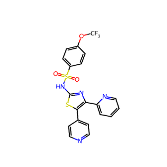 O=S(=O)(Nc1nc(-c2ccccn2)c(-c2ccncc2)s1)c1ccc(OC(F)(F)F)cc1